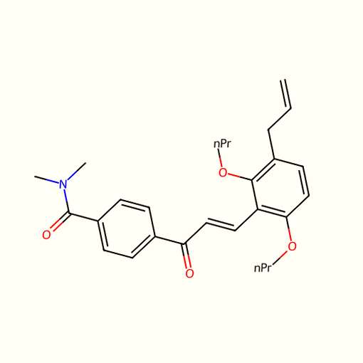 C=CCc1ccc(OCCC)c(C=CC(=O)c2ccc(C(=O)N(C)C)cc2)c1OCCC